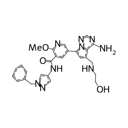 COc1ncc(-c2cc(CNCCO)c3c(N)ncnn23)cc1C(=O)Nc1cnn(Cc2ccccc2)c1